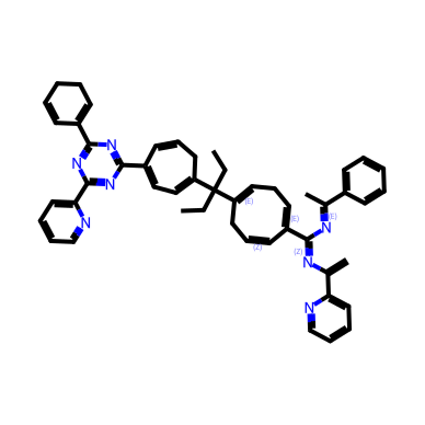 C=C(/N=C(\N=C(/C)c1ccccc1)C1=C/C/C=C(/C(CC)(CC)C2=CC=C(c3nc(C4=CCCC=C4)nc(-c4ccccn4)n3)C=CC2)C/C=C\1)c1ccccn1